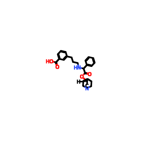 O=C(O)c1cccc(CCCNC(C(=O)O[C@H]2CN3CCC2CC3)c2ccccc2)c1